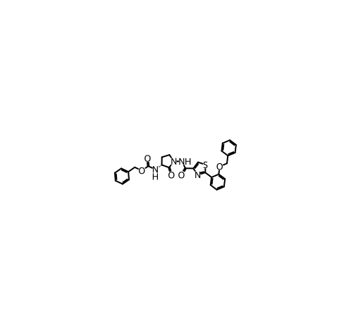 O=C(N[C@@H]1CCN(NC(=O)c2csc(-c3ccccc3OCc3ccccc3)n2)C1=O)OCc1ccccc1